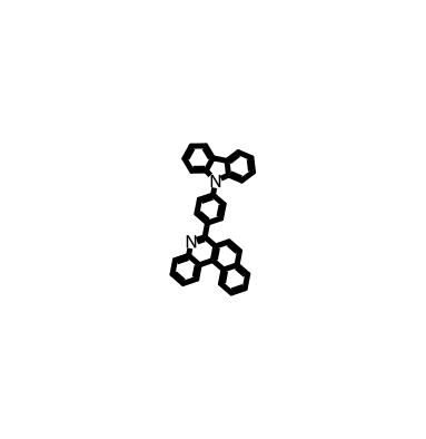 c1ccc2c(c1)ccc1c(-c3ccc(-n4c5ccccc5c5ccccc54)cc3)nc3ccccc3c12